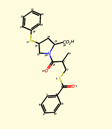 CC(CSC(=O)c1ccccc1)C(=O)N1CC(Sc2ccccc2)CC1C(=O)O